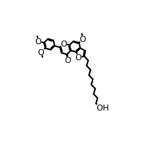 COc1ccc(-c2cc(=O)c3c(cc(OC)c4cc(CCCCCCCCCCO)oc43)o2)cc1OC